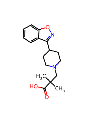 CC(C)(CN1CCC(c2noc3ccccc23)CC1)C(=O)O